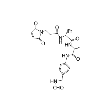 CC(C)C(NC(=O)CCN1C(=O)C=CC1=O)C(=O)N[C@@H](C)C(=O)Nc1ccc(CNC=O)cc1